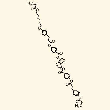 C=CC(=O)OCCCCCCOc1ccc(CCC(=O)Oc2ccc(C(=O)O[C@@H]3COC4C3OC[C@H]4OC(=O)c3ccc(OC(=O)CCc4ccc(OC(=O)C=C)cc4)cc3)cc2)cc1